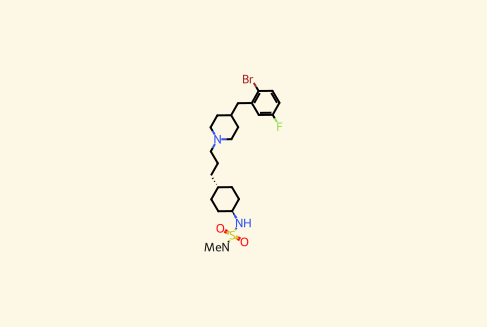 CNS(=O)(=O)N[C@H]1CC[C@H](CCCN2CCC(Cc3cc(F)ccc3Br)CC2)CC1